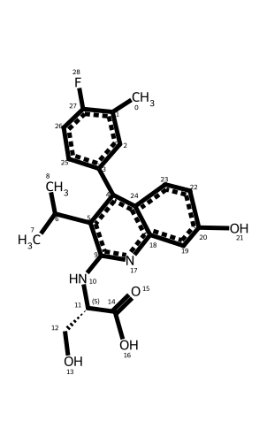 Cc1cc(-c2c(C(C)C)c(N[C@@H](CO)C(=O)O)nc3cc(O)ccc23)ccc1F